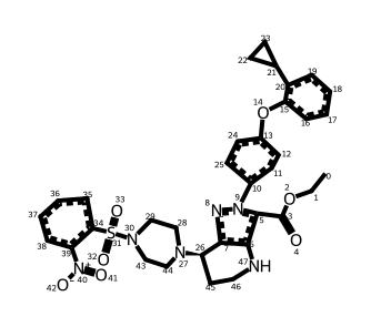 CCOC(=O)c1c2c(nn1-c1ccc(Oc3ccccc3C3CC3)cc1)[C@H](N1CCN(S(=O)(=O)c3ccccc3[N+](=O)[O-])CC1)CCN2